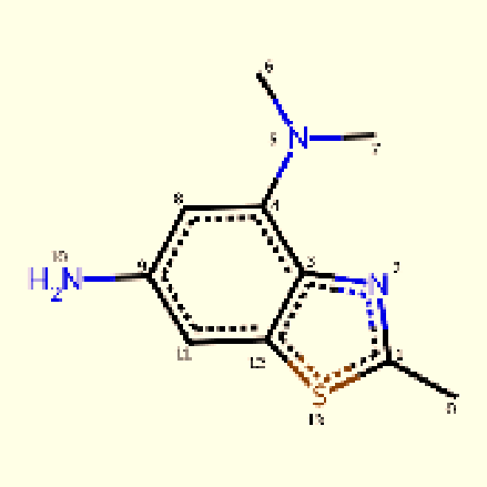 Cc1nc2c(N(C)C)cc(N)cc2s1